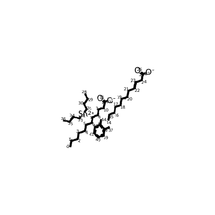 CCCCCCCCCCCC(=O)[O-].CCCCCCCCCCCC(=O)[O-].CCC[CH2][Sn+2][CH2]CCC.Cc1ccccc1C